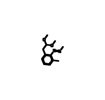 CN=Nc1c(C)cccc1CC(OC)OC